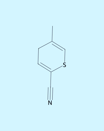 CC1=CSC(C#N)=CC1